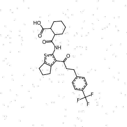 O=C(CCc1ccc(C(F)(F)F)cc1)c1c(NC(=O)C2CCCCC2C(=O)O)sc2c1CCC2